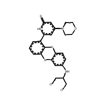 O=c1cc(N2CCOCC2)cc(-c2cccc3c2Sc2ccc(NC(CCl)CCl)cc2S3)[nH]1